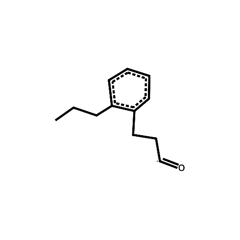 CCCc1ccccc1CC[C]=O